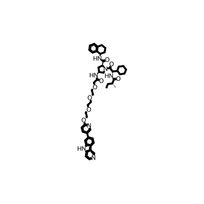 CC[C@@H](C)C(=O)N[C@H](C(=O)N1C[C@@H](NC(=O)COCCOCCOCCOc2ccc(-c3ccc4c(c3)[nH]c3ccncc34)cn2)C[C@H]1C(=O)N[C@@H]1CCCc2ccccc21)C1CCCCC1